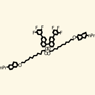 CCCc1ccc2cc(OCCCCCCCCCCCC(=O)Oc3ccc4cc(-c5cc(F)c(F)c(F)c5)ccc4c3-c3c(OC(=O)CCCCCCCCCCCOc4ccc5cc(CCC)ccc5c4)ccc4cc(-c5cc(F)c(F)c(F)c5)ccc34)ccc2c1